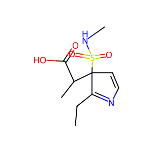 CCC1=NC=CC1(C(C)C(=O)O)S(=O)(=O)NC